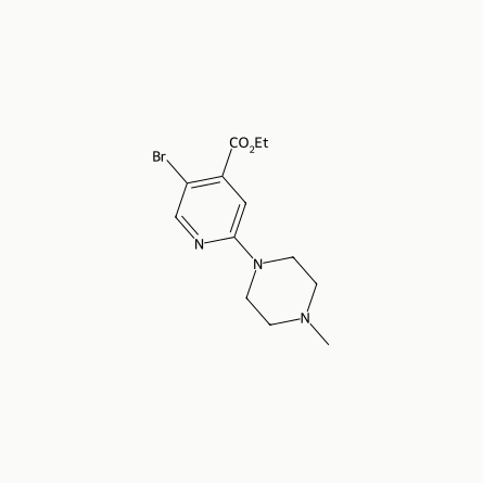 CCOC(=O)c1cc(N2CCN(C)CC2)ncc1Br